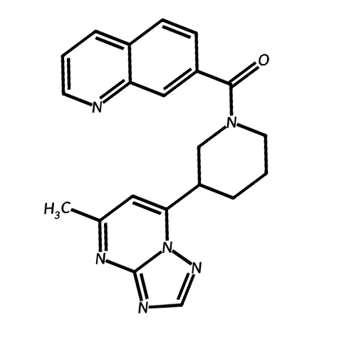 Cc1cc(C2CCCN(C(=O)c3ccc4cccnc4c3)C2)n2ncnc2n1